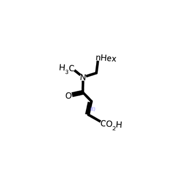 CCCCCCCN(C)C(=O)/C=C/C(=O)O